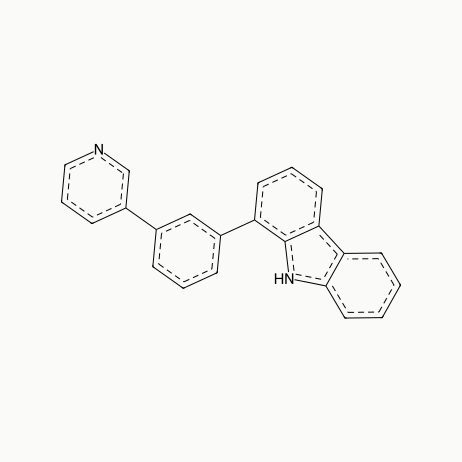 c1cncc(-c2cccc(-c3cccc4c3[nH]c3ccccc34)c2)c1